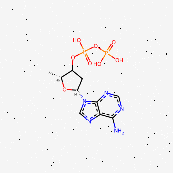 C[C@H]1O[C@@H](n2cnc3c(N)ncnc32)CC1OP(=O)(O)OP(=O)(O)O